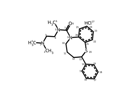 CN(C)CCN(C)C(=O)N1CCCC(c2ccccc2)Sc2ccccc21.Cl